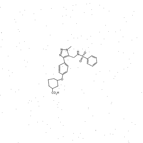 Cn1nnc(-c2ccc(OC3CCCC(C(=O)O)C3)cc2)c1CNS(=O)(=O)c1ccccc1